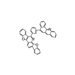 c1cc(-c2cc3cc4ccccc4nc3c3ccccc23)cc(-c2nc3c(ccc4c5ccccc5oc43)c3oc4ccccc4c23)c1